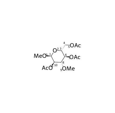 CO[C@H]1O[C@H](COC(C)=O)[C@@H](OC(C)=O)[C@H](OC)[C@H]1OC(C)=O